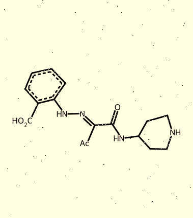 CC(=O)/C(=N\Nc1ccccc1C(=O)O)C(=O)NC1CCNCC1